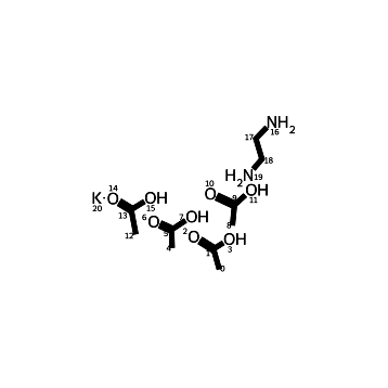 CC(=O)O.CC(=O)O.CC(=O)O.CC(=O)O.NCCN.[K]